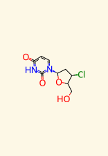 O=c1ccn([C@H]2C[C@@H](Cl)C(CO)O2)c(=O)[nH]1